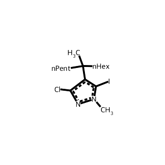 CCCCCCC(C)(CCCCC)c1c(Cl)nn(C)c1I